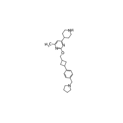 Cc1cc(C2CCNCC2)nc(OCC2CC(c3ccc(CN4CCCC4)cc3)C2)n1